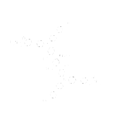 CCCCCCc1cc(-c2ccc(N(c3ccc(-c4ccc(CC(C)C)cc4)cc3)c3ccc(-c4ccc(C(N)(CC)CCC)cc4)cc3)cc2C)c(CCCCCC)cc1-c1ccc(N(c2ccc(-c3ccc(CC(C)C)cc3)cc2)c2ccc(-c3ccc(C(C)(N)CCC)cc3)cc2)cc1C